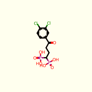 O=C(CCC(P(=O)(O)O)P(=O)(O)O)c1ccc(Cl)c(Cl)c1